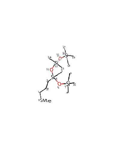 CSCCC[Si](C)(O[Si](C)(C)C)O[Si](C)(C)O[Si](C)(C)C